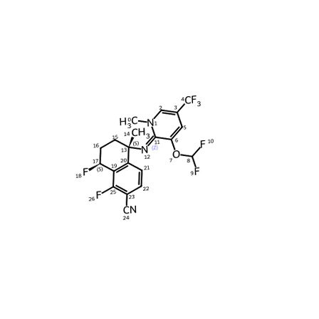 Cn1cc(C(F)(F)F)cc(OC(F)F)/c1=N/[C@@]1(C)CC[C@H](F)c2c1ccc(C#N)c2F